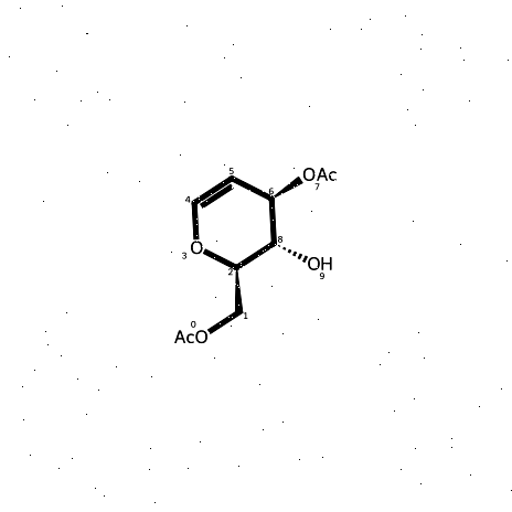 CC(=O)OC[C@H]1OC=C[C@@H](OC(C)=O)[C@@H]1O